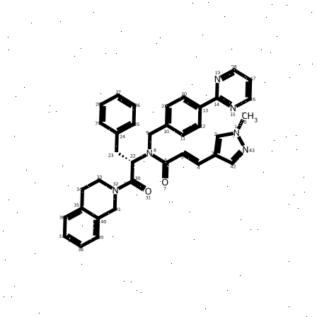 Cn1cc(C=CC(=O)N(Cc2ccc(-c3ncccn3)cc2)[C@@H](Cc2ccccc2)C(=O)N2CCc3ccccc3C2)cn1